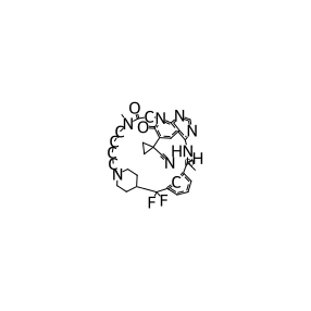 C[C@H]1Nc2ncnc3c2cc(C2(C#N)CC2)c(=O)n3CC(=O)N(C)CCCCN2CCC(CC2)C(F)(F)c2cccc1c2